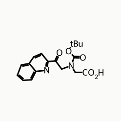 CC(C)(C)OC(=O)N(CC(=O)O)CC(=O)c1ccc2ccccc2n1